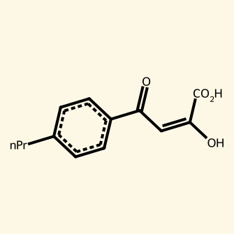 CCCc1ccc(C(=O)/C=C(/O)C(=O)O)cc1